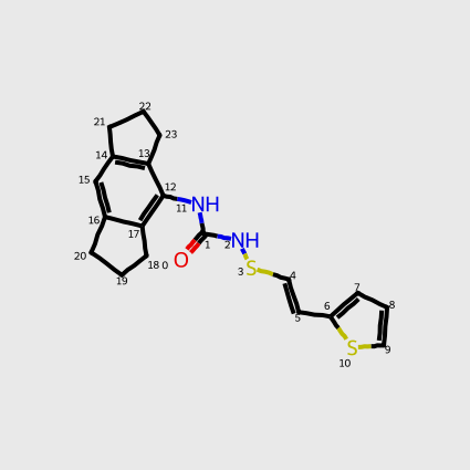 O=C(NS/C=C/c1cccs1)Nc1c2c(cc3c1CCC3)CCC2